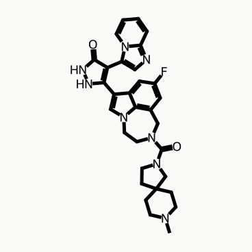 CN1CCC2(CC1)CCN(C(=O)N1CCn3cc(-c4[nH][nH]c(=O)c4-c4cnc5ccccn45)c4cc(F)cc(c43)C1)C2